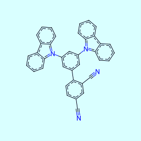 N#Cc1ccc(-c2cc(-n3c4ccccc4c4ccccc43)cc(-n3c4ccccc4c4ccccc43)c2)c(C#N)c1